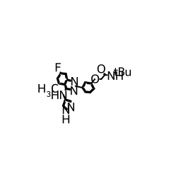 Cc1cc(F)cc2nc(-c3cccc(OCC(=O)NC(C)(C)C)c3)nc(Nc3cn[nH]c3)c12